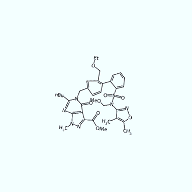 CCCCc1nc2c(c(C(=O)OC)nn2C)c(=O)n1Cc1ccc(-c2ccccc2S(=O)(=O)N(COC)c2noc(C)c2C)c(COCC)c1